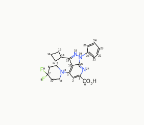 O=C(O)c1cc(N2CCC(F)(F)CC2)c2c(C3CCC3)nn(-c3ccccc3)c2n1